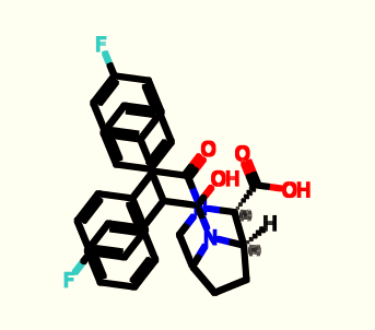 O=C(O)[C@@H]1[C@H]2CCC(CN1C(=O)C(c1ccc(F)cc1)c1ccc(F)cc1)N2C(O)C(c1ccccc1)c1ccccc1